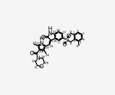 Cc1cccc(C)c1CS(=O)(=O)c1ccc2c(c1)/C(=C/c1[nH]c(C)c(C(=O)N3CCOCC3)c1C)C(=O)N2